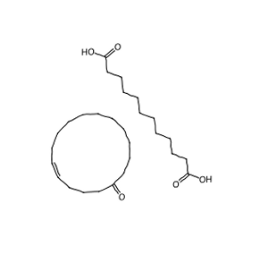 O=C(O)CCCCCCCCCCC(=O)O.O=C1CCCC=CCCCCCCCCCC1